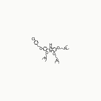 CCN(CC)CCCOc1cc(OCCCN(CC)CC)c2nc(-c3ccc(OCCc4ccc(Cl)cc4)cc3OCCN(CC)CC)[nH]c2c1